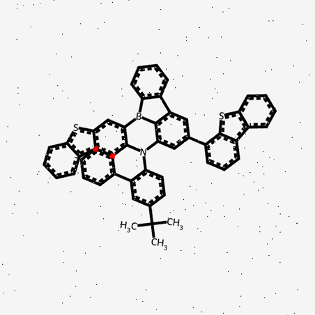 CC(C)(C)c1ccc(N2c3cc4c(cc3B3c5ccccc5-c5cc(-c6cccc7c6sc6ccccc67)cc2c53)sc2ccccc24)c(-c2ccccc2)c1